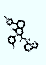 C[C@H](Nc1ccnc2ccnn12)c1cc2cccc(-c3cnn(C)c3)c2c(=O)n1-c1cccc(F)c1